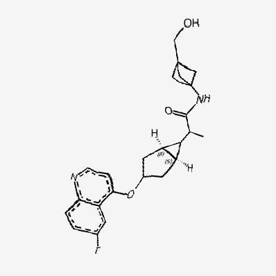 CC(C(=O)NC12CC(CO)(C1)C2)C1[C@H]2CC(Oc3ccnc4ccc(F)cc34)C[C@@H]12